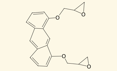 c1cc(OCC2CO2)c2cc3c(OCC4CO4)cccc3cc2c1